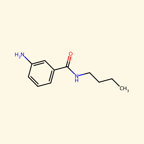 CCCCNC(=O)c1cccc(N)c1